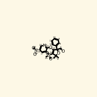 CC1(C)OC(C=O)(c2ccccc2)C(Oc2ccc([N+](=O)[O-])cn2)=C1S(C)(=O)=O